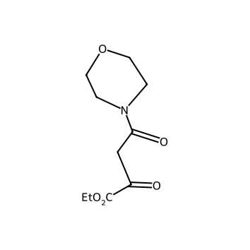 CCOC(=O)C(=O)CC(=O)N1CCOCC1